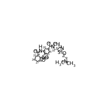 CN(C)CCOc1ncc(CN(C)C(=O)c2ccc3c(c2)NC(=O)c2ccccc2S3(=O)=O)s1